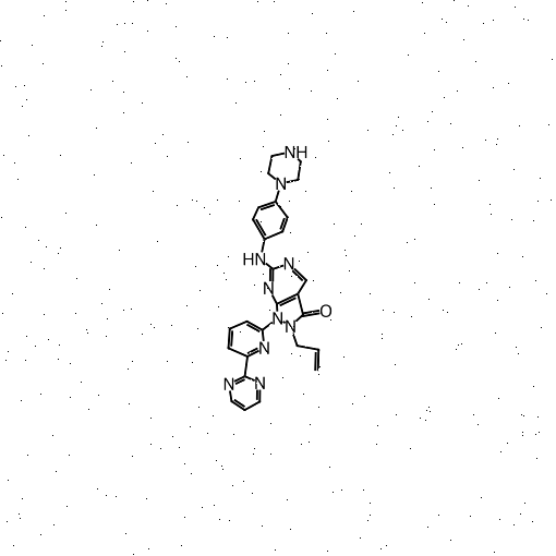 C=CCn1c(=O)c2cnc(Nc3ccc(N4CCNCC4)cc3)nc2n1-c1cccc(-c2ncccn2)n1